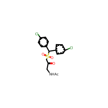 CC(=O)NCC(=O)CS(=O)(=O)C(c1ccc(Cl)cc1)c1ccc(Cl)cc1